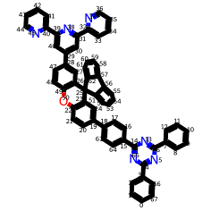 c1ccc(-c2nc(-c3ccccc3)nc(-c3ccc(-c4ccc5c(c4)C4(c6cc(-c7cc(-c8ccccn8)nc(-c8ccccn8)c7)ccc6O5)c5ccccc5-c5ccccc54)cc3)n2)cc1